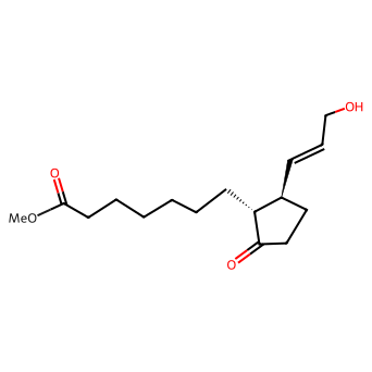 COC(=O)CCCCCC[C@H]1C(=O)CC[C@@H]1C=CCO